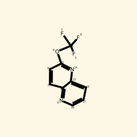 FC(F)(F)Oc1ccc2ncccc2n1